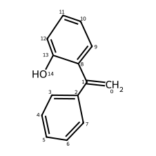 C=C(c1ccccc1)c1ccccc1O